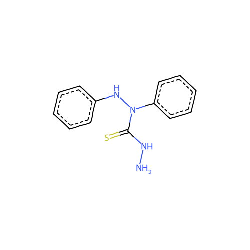 NNC(=S)N(Nc1ccccc1)c1ccccc1